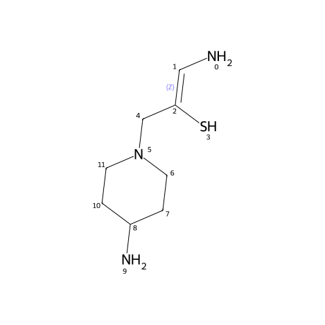 N/C=C(\S)CN1CCC(N)CC1